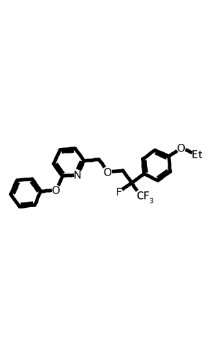 CCOc1ccc(C(F)(COCc2cccc(Oc3ccccc3)n2)C(F)(F)F)cc1